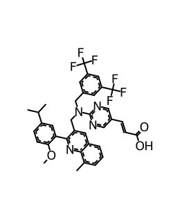 COc1ccc(C(C)C)cc1-c1nc2c(C)cccc2cc1CN(Cc1cc(C(F)(F)F)cc(C(F)(F)F)c1)c1ncc(C=CC(=O)O)cn1